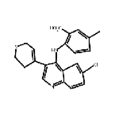 Cc1ccc(Nc2c(C3=CCSCC3)cnc3ccc(Cl)cc23)c(C(=O)O)c1